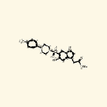 COC(=O)Cc1c[nH]c2cc(S(=O)(=O)N3CCN(c4ccc(C(F)(F)F)cc4)CC3)c(Br)cc12